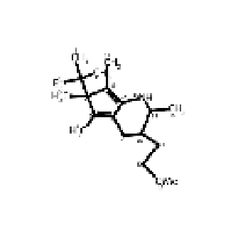 CCC(C)(C)[C@@]1(C)C(C)=C2CC(CCOC)C(C)NC2=C1C